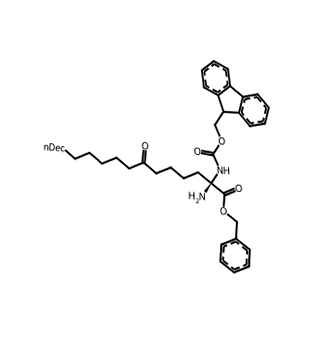 CCCCCCCCCCCCCCCC(=O)CCCC[C@](N)(NC(=O)OCC1c2ccccc2-c2ccccc21)C(=O)OCc1ccccc1